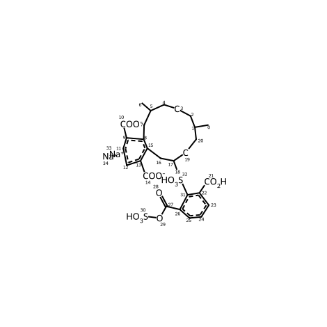 CC1CCCC(C)Cc2c(C(=O)[O-])ccc(C(=O)[O-])c2CC(C)CC1.O=C(O)c1cccc(C(=O)OS(=O)(=O)O)c1S(=O)(=O)O.[Na+].[Na+]